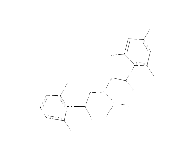 Cc1cc(C)c(C(N)C[N](CC(N)c2c(C)cccc2C)[Co]([Br])[Br])c(C)c1